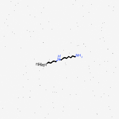 CCCCCCCCCCCNCCCCCCCN